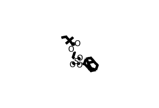 CCC(C)(C)C(=O)OCCS(=O)(=O)OC1C2CC3CC(C2)CC1C3